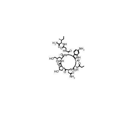 CCC(=O)N[C@H]1C[S+]([O-])c2[nH]c3cc(N)ccc3c2C[C@@H](C(=O)NCC(=O)N[C@H](C(N)=O)[C@@H](C)CC)NC(=O)[C@H]([C@@H](C)[C@@H](O)CO)NC(=O)[C@@H]2C[C@@H](O)CN2C(=O)[C@H](CC(N)=O)NC1=O